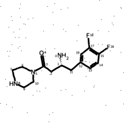 N[C@@H](CC(=O)N1CCNCC1)Cc1ccc(F)c(F)c1